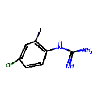 N=C(N)Nc1ccc(Cl)cc1I